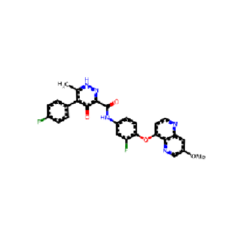 COc1cnc2c(Oc3ccc(NC(=O)c4n[nH]c(C)c(-c5ccc(F)cc5)c4=O)cc3F)ccnc2c1